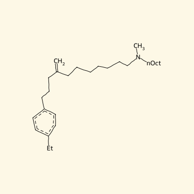 C=C(CCCCCCCN(C)CCCCCCCC)CCCc1ccc(CC)cc1